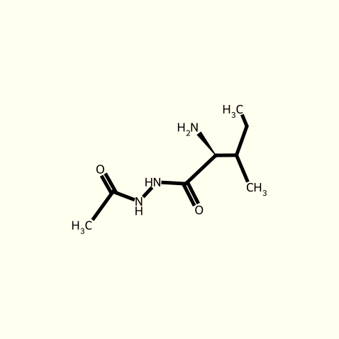 CCC(C)[C@H](N)C(=O)NNC(C)=O